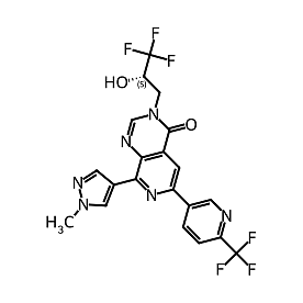 Cn1cc(-c2nc(-c3ccc(C(F)(F)F)nc3)cc3c(=O)n(C[C@H](O)C(F)(F)F)cnc23)cn1